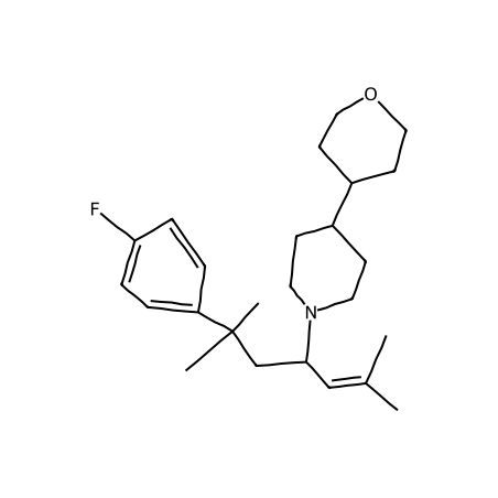 CC(C)=CC(CC(C)(C)c1ccc(F)cc1)N1CCC(C2CCOCC2)CC1